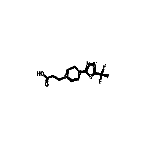 O=C(O)CCN1CCN(c2nnc(C(F)(F)F)s2)CC1